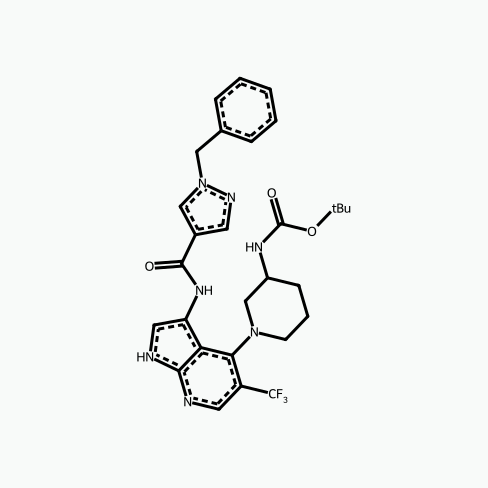 CC(C)(C)OC(=O)NC1CCCN(c2c(C(F)(F)F)cnc3[nH]cc(NC(=O)c4cnn(Cc5ccccc5)c4)c23)C1